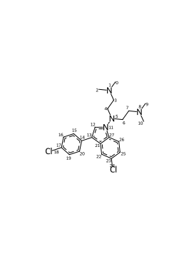 CN(C)CCN(CCN(C)C)n1cc(-c2ccc(Cl)cc2)c2cc(Cl)ccc21